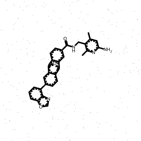 Cc1cc(N)nc(C)c1CNC(=O)c1ccc2c(c1)c1oc2c2cc(-c3cccc4ocnc34)ccc21